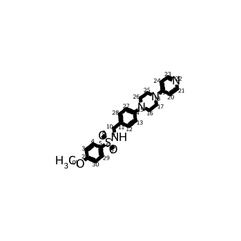 COc1ccc(S(=O)(=O)NCc2ccc(N3CCN(c4ccncc4)CC3)cc2)cc1